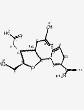 NC(=O)C1=CN(C2O[C@@H](CO)[C@H](CC(=O)O)[C@H]2CC(=O)O)C=CC1